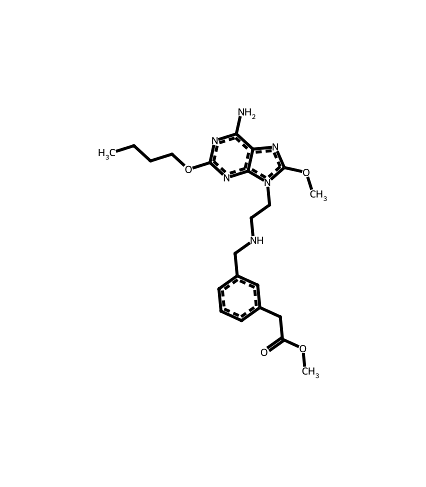 CCCCOc1nc(N)c2nc(OC)n(CCNCc3cccc(CC(=O)OC)c3)c2n1